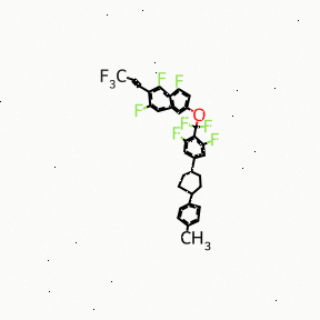 Cc1ccc(C2CCC(c3cc(F)c(C(F)(F)Oc4cc(F)c5c(F)c(C#CC(F)(F)F)c(F)cc5c4)c(F)c3)CC2)cc1